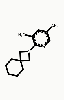 Cc1cnc(N2CC3(CCCCC3)C2)c(C)c1